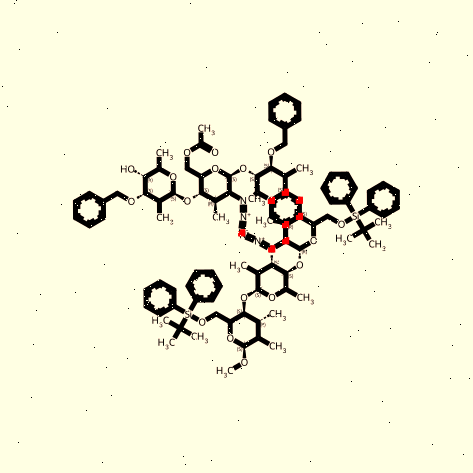 CO[C@H]1OC(CO[Si](c2ccccc2)(c2ccccc2)C(C)(C)C)[C@@H](O[C@@H]2OC(C)[C@H](O[C@H]3OC(CO[Si](c4ccccc4)(c4ccccc4)C(C)(C)C)[C@@H](O[C@@H]4OC(C)[C@H](O[C@@H]5OC(COC(C)=O)[C@@H](O[C@@H]6OC(C)[C@@H](O)[C@@H](OCc7ccccc7)C6C)[C@H](C)C5N=[N+]=[N-])[C@@H](OCc5ccccc5)C4C)[C@H](C)C3N=[N+]=[N-])[C@@H](OCc3ccccc3)C2C)[C@H](C)C1C